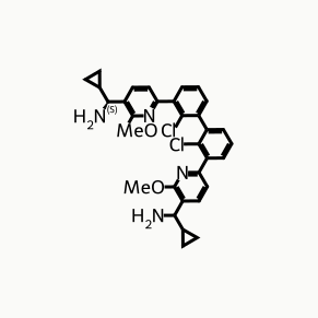 COc1nc(-c2cccc(-c3cccc(-c4ccc([C@@H](N)C5CC5)c(OC)n4)c3Cl)c2Cl)ccc1C(N)C1CC1